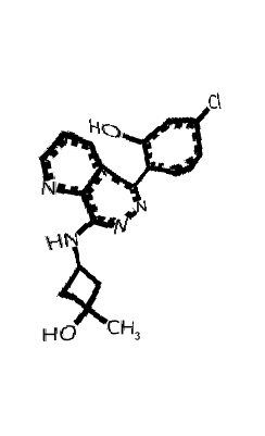 CC1(O)CC(Nc2nnc(-c3ccc(Cl)cc3O)c3cccnc23)C1